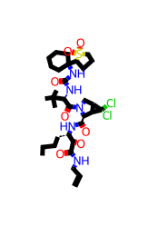 C=CCNC(=O)C(=O)[C@H](CCCC)NC(=O)[C@@H]1C2C(CN1C(=O)[C@@H](NC(=O)NC1(C3CCCS3(=O)=O)CCCCC1)C(C)(C)C)C2(Cl)Cl